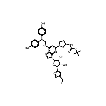 CCc1cc([C@H]2O[C@@H](n3cnc4c(NCC(c5ccc(O)cc5)c5ccc(O)cc5)nc(N5CC[C@@H](NC(=O)OC(C)(C)C)C5)nc43)[C@H](O)[C@@H]2O)on1